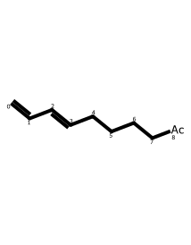 C=CC=CCCCCC(C)=O